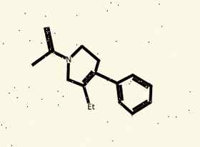 C=C(C)N1CCC(c2ccccc2)=C(CC)C1